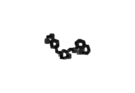 c1cc2c(c(OC[C@@H]3CN(Cc4ccc5c(c4)OCO5)CCO3)c1)NCCC2